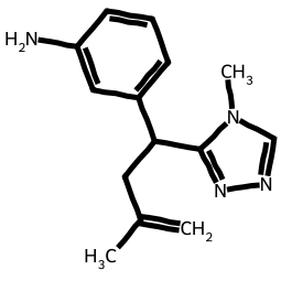 C=C(C)CC(c1cccc(N)c1)c1nncn1C